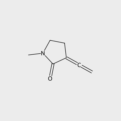 C=C=C1CCN(C)C1=O